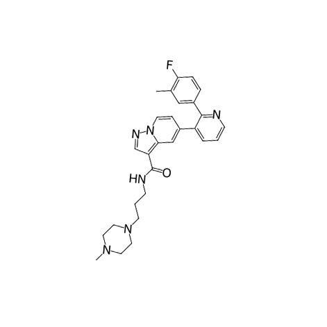 Cc1cc(-c2ncccc2-c2ccn3ncc(C(=O)NCCCN4CCN(C)CC4)c3c2)ccc1F